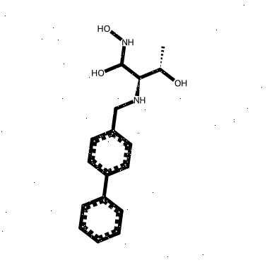 C[C@H](O)[C@@H](NCc1ccc(-c2ccccc2)cc1)C(O)NO